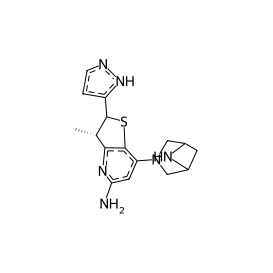 C[C@H]1c2nc(N)cc(N3CC4CC(C3)N4)c2SC1c1ccn[nH]1